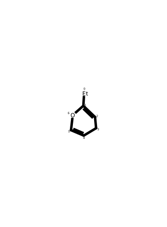 [CH2]CC1=CCC=CO1